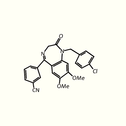 COc1cc2c(cc1OC)N(Cc1ccc(Cl)cc1)C(=O)CN=C2c1cccc(C#N)c1